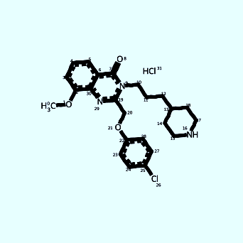 COc1cccc2c(=O)n(CCCC3CCNCC3)c(COc3ccc(Cl)cc3)nc12.Cl